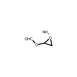 N.O=COC1CO1